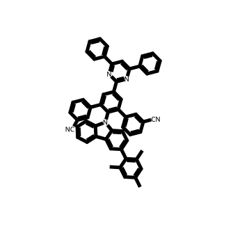 Cc1cc(C)c(-c2ccc3c(c2)c2ccccc2n3-c2c(-c3cccc(C#N)c3)cc(-c3nc(-c4ccccc4)cc(-c4ccccc4)n3)cc2-c2cccc(C#N)c2)c(C)c1